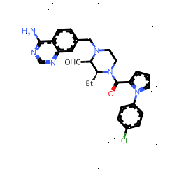 CC[C@H]1C(C=O)N(Cc2ccc3c(N)ncnc3c2)CCN1C(=O)c1cccn1-c1ccc(Cl)cc1